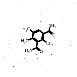 Cc1cc(C(N)=O)c(C)c(C(N)=O)c1C